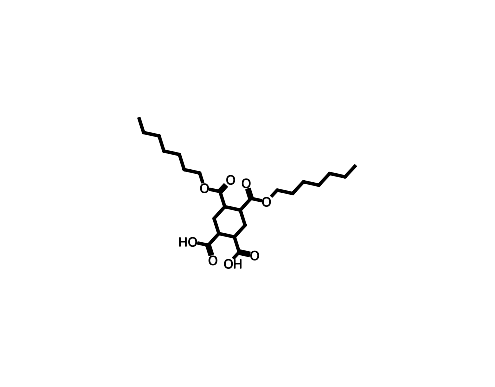 CCCCCCCOC(=O)C1CC(C(=O)O)C(C(=O)O)CC1C(=O)OCCCCCCC